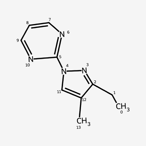 CCc1nn(-c2ncccn2)cc1C